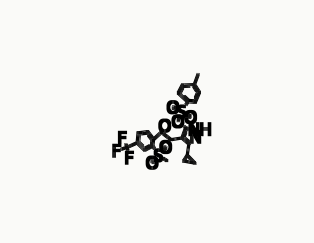 Cc1ccc(S(=O)(=O)Oc2[nH]nc(C3CC3)c2CC(=O)c2ccc(C(F)(F)F)cc2S(C)(=O)=O)cc1